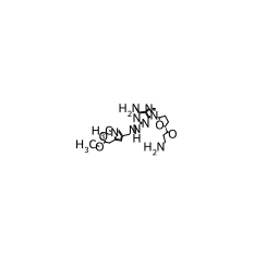 COC(=O)Cc1cc(/C=N/Nc2nc(N)c3ncn([C@H]4CC[C@@H](C(=O)CCN)O4)c3n2)cn1C